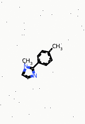 Cc1ccc(-c2n[c]cn2C)cc1